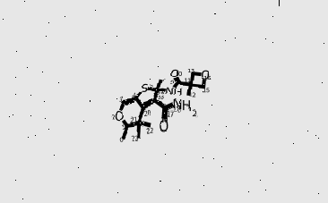 CC1OC=C2SC(C)(NC(=O)C3(C)COC3)C(C(N)=O)=C2C1(C)C